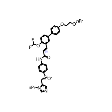 CCCOCCOc1ccc(-c2ccc(OC(F)F)c(/C=C/C(=O)Nc3ccc([S@@+]([O-])Cc4cncn4CCC)cc3)c2)cc1